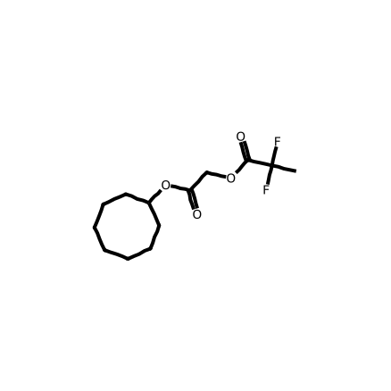 CC(F)(F)C(=O)OCC(=O)OC1CCCCCCC1